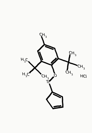 Cc1cc(C(C)(C)C)c([O][Ti][C]2=CC=CC2)c(C(C)(C)C)c1.Cl